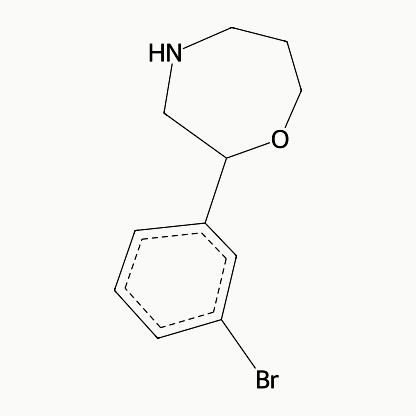 Brc1cccc(C2CNCCCO2)c1